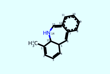 CC1=CC=CC2C=c3ccccc3=CNC12